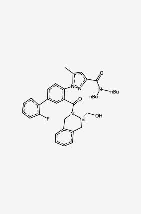 CCCCN(CCCC)C(=O)c1cc(C)n(-c2ccc(-c3ccccc3F)cc2C(=O)N2Cc3ccccc3C[C@H]2CO)n1